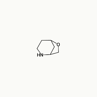 C1CC2CC(CO2)N1